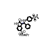 CC(C)NS(=O)(=O)c1ccc2c(c1)/C(=C(/Nc1ccc(S(=O)(=O)N(C)C)cc1)c1ccccc1)C(=O)N2